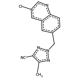 Cc1nn(Cc2ccc3ncc(Cl)cc3c2)nc1C#N